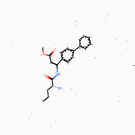 CCC[C@@H](N)C(=O)NC(CC(=O)OC)c1ccc(-c2ccccc2)cc1